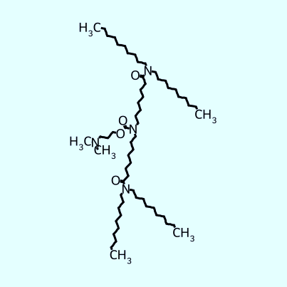 CCCCCCCCCCN(CCCCCCCCCC)C(=O)CCCCCCCN(CCCCCCCC(=O)N(CCCCCCCCCC)CCCCCCCCCC)C(=O)OCCCN(C)C